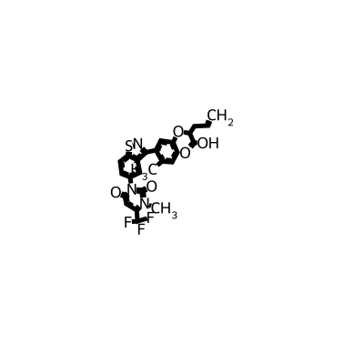 C=CCC(Oc1ccc(C)c(-c2nsc3ccc(-n4c(=O)cc(C(F)(F)F)n(C)c4=O)cc23)c1)C(=O)O